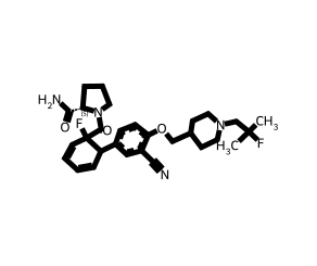 CC(C)(F)CN1CCC(COc2ccc(C3C=CC=CC3(F)C(=O)N3CCC[C@H]3C(N)=O)cc2C#N)CC1